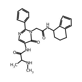 CNC(C)C(=O)Nc1cnc(-c2ccccc2)n(CC(=O)NC2CCCc3ccccc32)c1=O